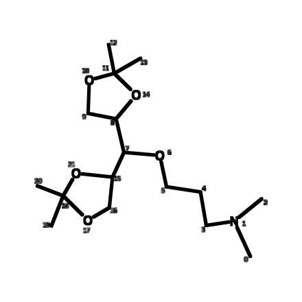 CN(C)CCCOC(C1COC(C)(C)O1)C1COC(C)(C)O1